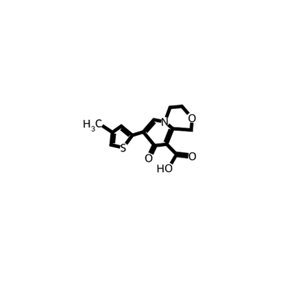 Cc1csc(-c2cn3c(c(C(=O)O)c2=O)COCC3)c1